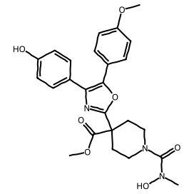 COC(=O)C1(c2nc(-c3ccc(O)cc3)c(-c3ccc(OC)cc3)o2)CCN(C(=O)N(C)O)CC1